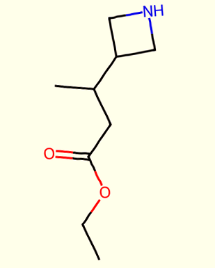 CCOC(=O)CC(C)C1CNC1